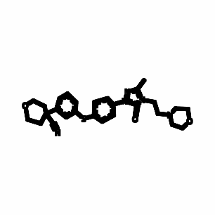 Cc1nn(-c2ccc(Sc3cccc(C4(C#N)CCOCC4)c3)cc2)c(=O)n1CCN1CCOCC1